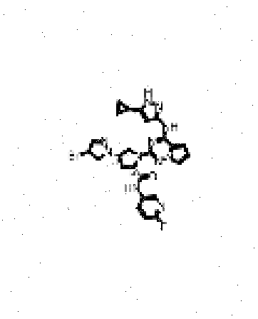 O=C(Nc1ccc(F)nc1)[C@@H]1C[C@H](N2CC(Br)C=N2)CN1c1nc(Nc2cc(C3CC3)[nH]n2)c2cccn2n1